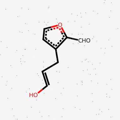 O=Cc1occc1CC=CO